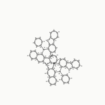 Cc1ccc2c(oc3ccccc32)c1N(c1ccccc1)c1c2ccccc2cc2c1c1cccc3c4c(N(c5ccccc5)c5c(C)ccc6c5oc5ccccc56)c5ccccc5cc4n2c13